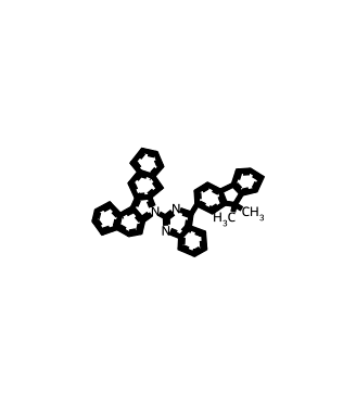 CC1(C)c2ccccc2-c2ccc(-c3nc(-n4c5cc6ccccc6cc5c5c6ccccc6ccc54)nc4ccccc34)cc21